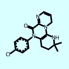 CC1(C)CCC2=C(N1)N1CC=CN=C1C(=O)N2c1ccc(Cl)cc1